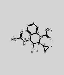 CC(=O)N1c2ccccc2[C@H](NC(=O)O)[C@H](C)[C@@H]1C1CC1